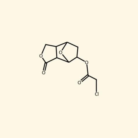 O=C(CCl)OC1CC2OC1C1C(=O)OCC21